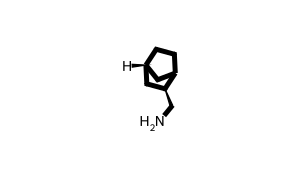 NC[C@H]1C[C@@H]2CCC1C2